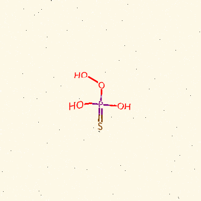 OOP(O)(O)=S